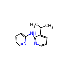 CC(C)c1cccnc1Nc1ccccn1